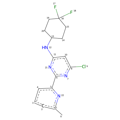 Cc1cccc(-c2nc(Cl)cc(NC3CCC(F)(F)CC3)n2)n1